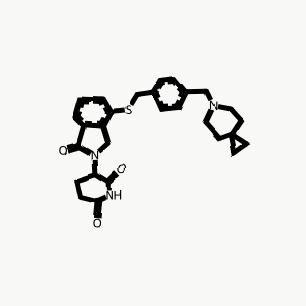 O=C1CCC(N2Cc3c(SCc4ccc(CN5CCC6(CC5)CC6)cc4)cccc3C2=O)C(=O)N1